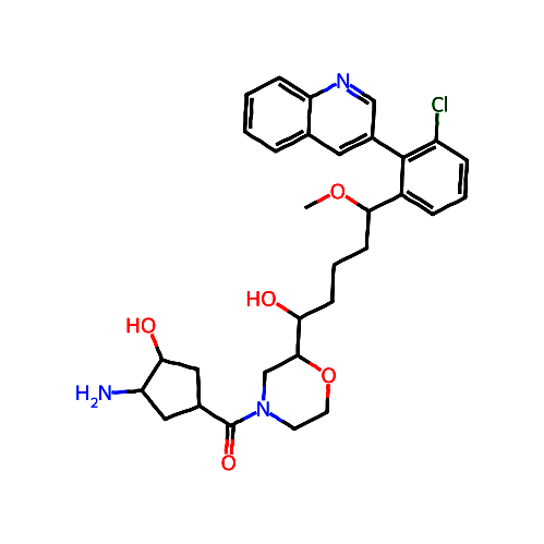 COC(CCCC(O)C1CN(C(=O)C2CC(N)C(O)C2)CCO1)c1cccc(Cl)c1-c1cnc2ccccc2c1